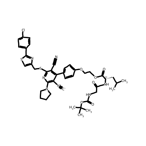 [C-]#[N+]c1c(N2CCCC2)nc(SCc2csc(-c3ccc(Cl)cc3)n2)c(C#N)c1-c1ccc(OCCOC(=O)[C@H](CC(C)C)NC(=O)CNC(=O)OC(C)(C)C)cc1